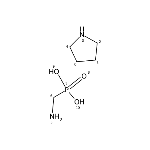 C1CCNC1.NCP(=O)(O)O